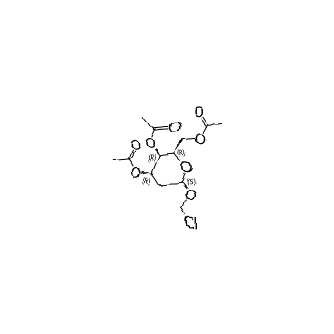 CC(=O)OC[C@H]1O[C@@H](OCCl)C[C@@H](OC(C)=O)[C@H]1OC(C)=O